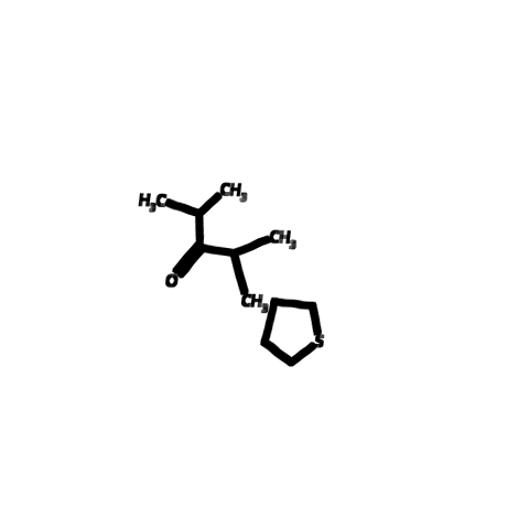 C1CCSC1.CC(C)C(=O)C(C)C